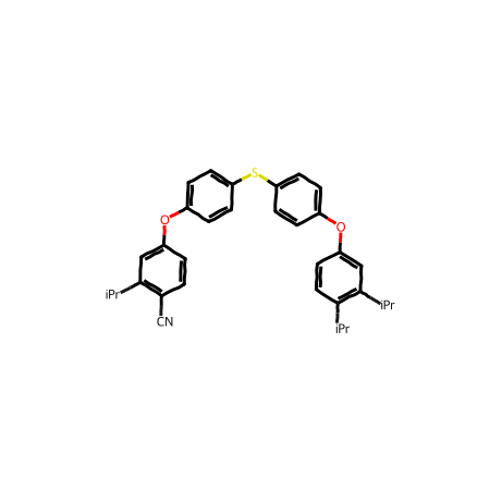 CC(C)c1cc(Oc2ccc(Sc3ccc(Oc4ccc(C(C)C)c(C(C)C)c4)cc3)cc2)ccc1C#N